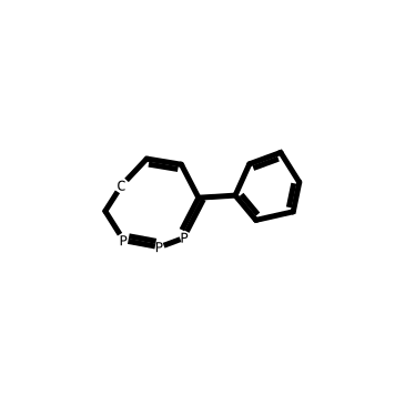 C1=C/C(c2ccccc2)=P\P=P/CC\1